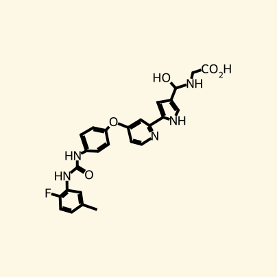 Cc1ccc(F)c(NC(=O)Nc2ccc(Oc3ccnc(-c4cc(C(O)NCC(=O)O)c[nH]4)c3)cc2)c1